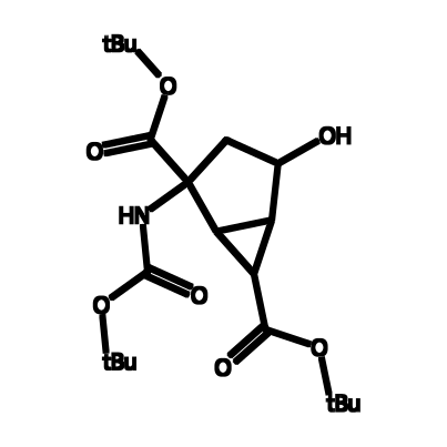 CC(C)(C)OC(=O)NC1(C(=O)OC(C)(C)C)CC(O)C2C(C(=O)OC(C)(C)C)C21